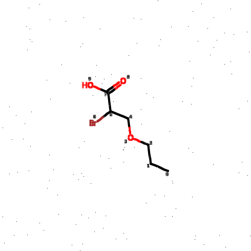 CCCOCC(Br)C(=O)O